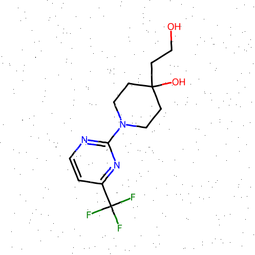 OCCC1(O)CCN(c2nccc(C(F)(F)F)n2)CC1